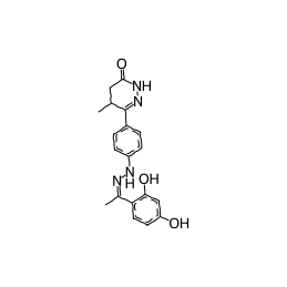 C/C(=N/Nc1ccc(C2=NNC(=O)CC2C)cc1)c1ccc(O)cc1O